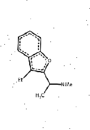 CCc1c(C(C)NC)oc2ccccc12